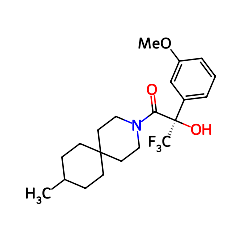 COc1cccc([C@@](O)(C(=O)N2CCC3(CCC(C)CC3)CC2)C(F)(F)F)c1